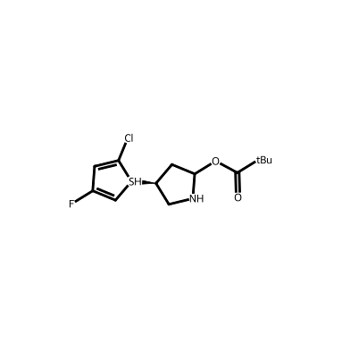 CC(C)(C)C(=O)OC1C[C@H]([SH]2C=C(F)C=C2Cl)CN1